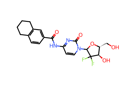 O=C(Nc1ccn(C2O[C@H](CO)[C@@H](O)C2(F)F)c(=O)n1)c1ccc2c(c1)CCCC2